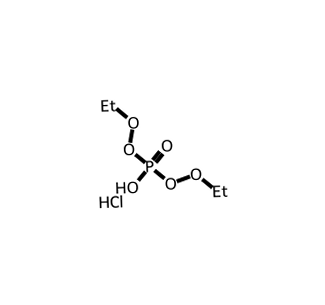 CCOOP(=O)(O)OOCC.Cl